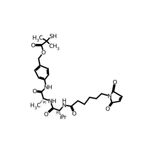 CC(C)[C@@H](NC(=O)CCCCCN1C(=O)C=CC1=O)C(=O)N[C@H](C)C(=O)Nc1ccc(COC(=O)C(C)(C)S)cc1